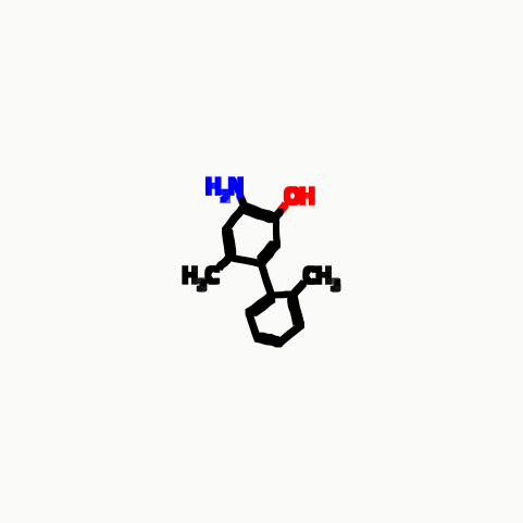 Cc1ccccc1-c1cc(O)c(N)cc1C